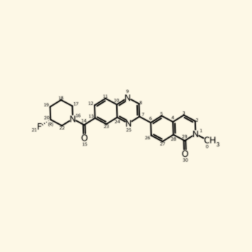 Cn1ccc2cc(-c3cnc4ccc(C(=O)N5CCC[C@@H](F)C5)cc4n3)ccc2c1=O